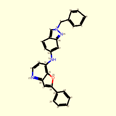 c1ccc(Cn2cc3ccc(Nc4ccnc5cc(-c6ccccc6)oc45)cc3n2)cc1